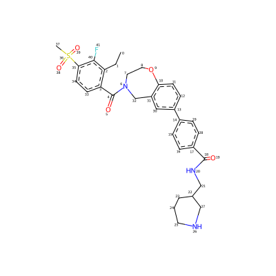 CCc1c(C(=O)N2CCOc3ccc(-c4ccc(C(=O)NCC5CCCNC5)cc4)cc3C2)ccc(S(C)(=O)=O)c1F